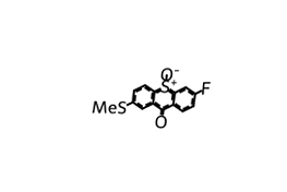 CSc1ccc2c(c1)c(=O)c1ccc(F)cc1[s+]2[O-]